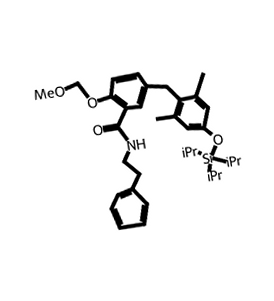 COCOc1ccc(Cc2c(C)cc(O[Si](C(C)C)(C(C)C)C(C)C)cc2C)cc1C(=O)NCCc1ccccc1